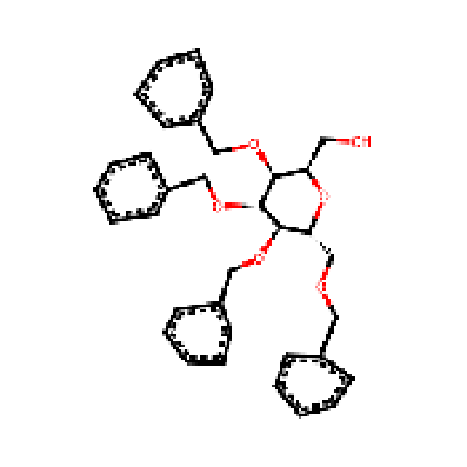 OC[C@H]1O[C@H](COCc2ccccc2)[C@@H](OCc2ccccc2)[C@@H](OCc2ccccc2)[C@H]1OCc1ccccc1